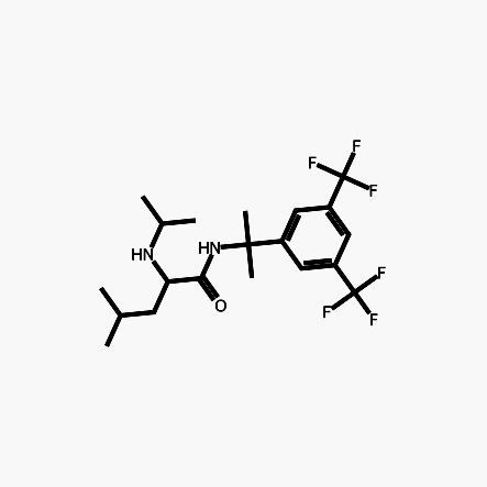 CC(C)CC(NC(C)C)C(=O)NC(C)(C)c1cc(C(F)(F)F)cc(C(F)(F)F)c1